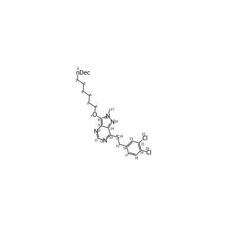 CCCCCCCCCCCCCCCCOc1c2ncnc(SCc3ccc(Cl)c(Cl)c3)c2nn1C